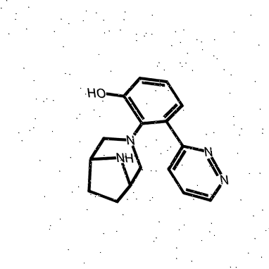 Oc1cccc(-c2cccnn2)c1N1CC2CCC(C1)N2